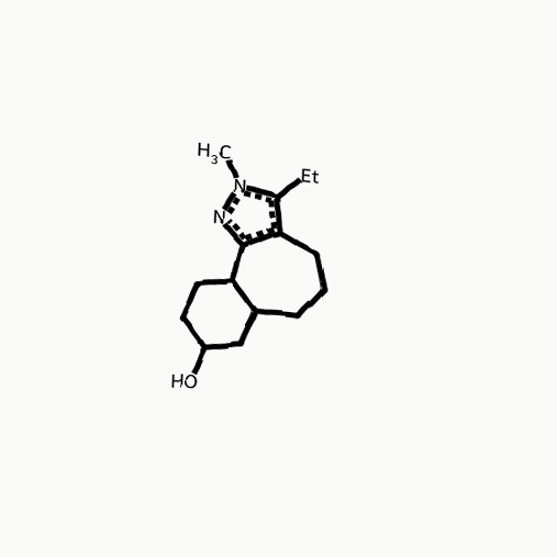 CCc1c2c(nn1C)C1CCC(O)CC1CCC2